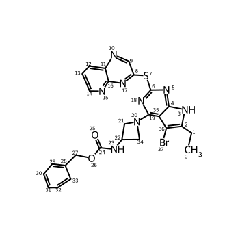 CCc1[nH]c2nc(Sc3cnc4cccnc4n3)nc(N3CC(NC(=O)OCc4ccccc4)C3)c2c1Br